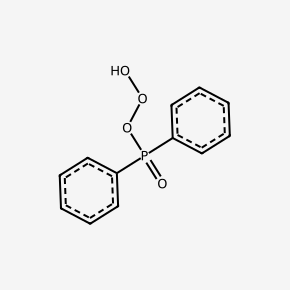 O=P(OOO)(c1ccccc1)c1ccccc1